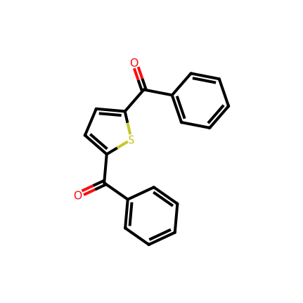 O=C(c1ccccc1)c1ccc(C(=O)c2ccccc2)s1